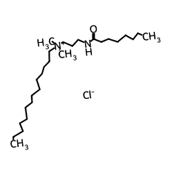 CCCCCCCCCCCCCC[N+](C)(C)CCCNC(=O)CCCCCCC.[Cl-]